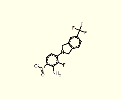 Nc1c([N+](=O)[O-])ccc(N2Cc3ccc(C(F)(F)F)cc3C2)c1F